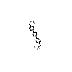 CCc1ccc(-c2ccc(-c3ncc(CC)cn3)cc2)cc1